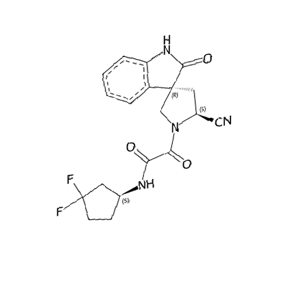 N#C[C@@H]1C[C@@]2(CN1C(=O)C(=O)N[C@H]1CCC(F)(F)C1)C(=O)Nc1ccccc12